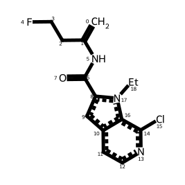 C=C(CCF)NC(=O)c1cc2ccnc(Cl)c2n1CC